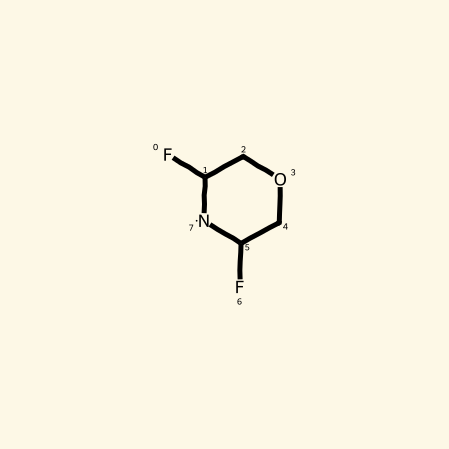 FC1COCC(F)[N]1